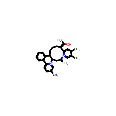 C=C1CC2C(CCC/C(=C(\C)O)c3cc(C)c(C)c[n+]31)c1ccccc1-c1ccc(C)c[n+]12